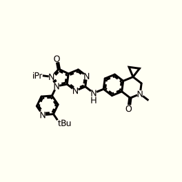 CC(C)n1c(=O)c2cnc(Nc3ccc4c(c3)C(=O)N(C)CC43CC3)nc2n1-c1ccnc(C(C)(C)C)c1